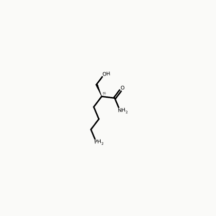 NC(=O)[C@H](CO)CCCP